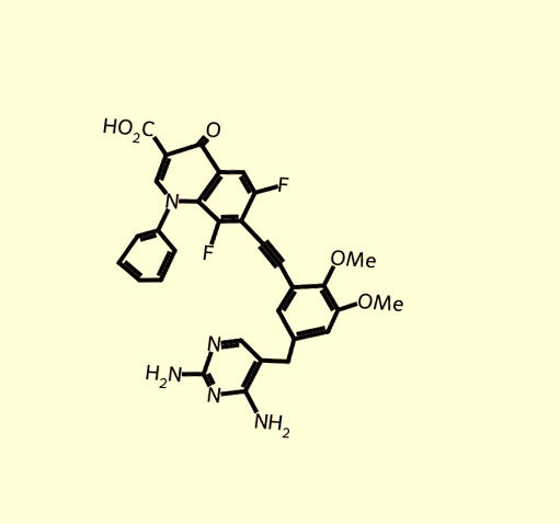 COc1cc(Cc2cnc(N)nc2N)cc(C#Cc2c(F)cc3c(=O)c(C(=O)O)cn(-c4ccccc4)c3c2F)c1OC